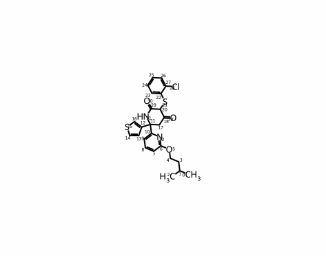 CC(C)CCOc1cccc(C2(c3ccsc3)CC(=O)C(Sc3ccccc3Cl)C(=O)N2)n1